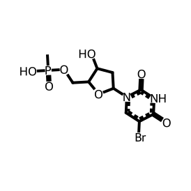 CP(=O)(O)OCC1OC(n2cc(Br)c(=O)[nH]c2=O)CC1O